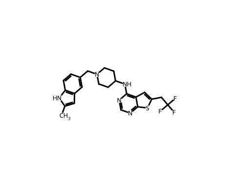 Cc1cc2cc(CN3CCC(Nc4ncnc5sc(CC(F)(F)F)cc45)CC3)ccc2[nH]1